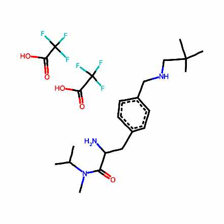 CC(C)N(C)C(=O)C(N)Cc1ccc(CNCC(C)(C)C)cc1.O=C(O)C(F)(F)F.O=C(O)C(F)(F)F